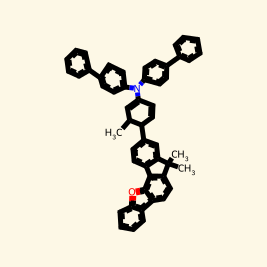 CC1C=C(N(c2ccc(-c3ccccc3)cc2)c2ccc(-c3ccccc3)cc2)C=CC1c1ccc2c(c1)C(C)(C)c1ccc3c(oc4ccccc43)c1-2